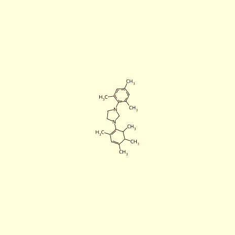 CC1=CC(C)=C(N2CCN(c3c(C)cc(C)cc3C)C2)C(C)C1C